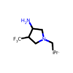 C[C](C)CN1CC(N)C(C(F)(F)F)C1